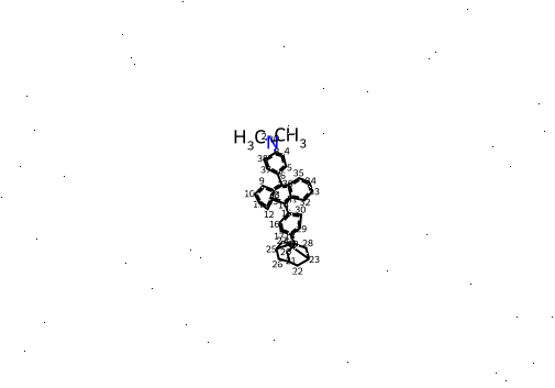 CN(C)c1ccc(-c2c3ccccc3c(-c3ccc(C45CC6CC(CC(C6)C4)C5)cc3)c3ccccc23)cc1